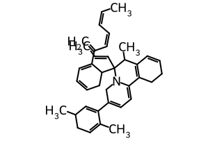 C=C(/C=C\C=C/C)C1=CC=CCC1C1(C=CC)C(C)C2=C(CCC=C2)C2=CC=C(C3=CC(C)CC=C3C)CN21